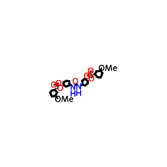 COc1cccc(S(=O)(=O)Oc2ccc(NC(=O)Nc3cccc(OS(=O)(=O)c4cccc(OC)c4)c3)cc2)c1